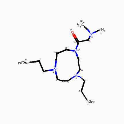 CCCCCCCCCCCCN1CCN(CCCCCCCCCCCC)CCN(C(=O)CN(C)C)CC1